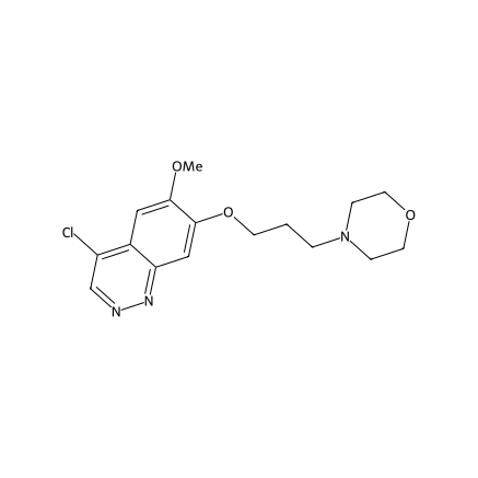 COc1cc2c(Cl)cnnc2cc1OCCCN1CCOCC1